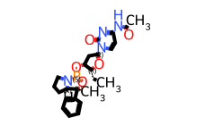 CC[C@H]1O[C@@H](n2ccc(NC(C)=O)nc2=O)CC1O[P@]1O[C@@](C)(c2ccccc2)[C@H]2CCCN21